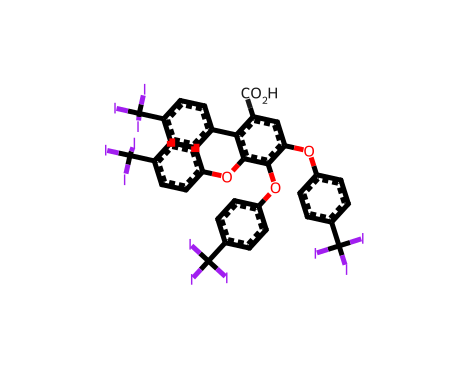 O=C(O)c1cc(Oc2ccc(C(I)(I)I)cc2)c(Oc2ccc(C(I)(I)I)cc2)c(Oc2ccc(C(I)(I)I)cc2)c1-c1ccc(C(I)(I)I)cc1